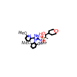 COc1cccc(-c2nnc(NS(=O)(=O)[C@H](C)C(O)C3CCOCC3)n2-c2c(OC)cccc2OC)n1